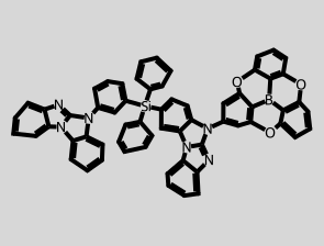 c1ccc([Si](c2ccccc2)(c2cccc(-n3c4ccccc4n4c5ccccc5nc34)c2)c2ccc3c(c2)n2c4ccccc4nc2n3-c2cc3c4c(c2)Oc2cccc5c2B4c2c(cccc2O3)O5)cc1